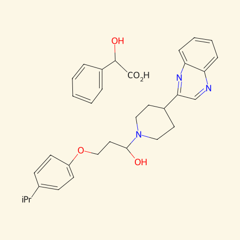 CC(C)c1ccc(OCCC(O)N2CCC(c3cnc4ccccc4n3)CC2)cc1.O=C(O)C(O)c1ccccc1